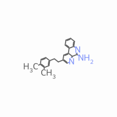 Cc1ccc(CCc2cnc3c(N)nc4ccccc4c3c2)cc1C